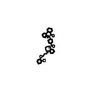 O=C(Nc1ccc(C(=O)N2CCCN(CCCOc3ccccc3Cl)c3ccccc32)cc1)c1ccccc1-c1ccccc1